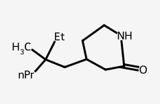 CCCC(C)(CC)CC1CCNC(=O)C1